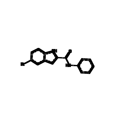 CCc1ccc2[nH]c(C(=O)Nc3ccccc3)cc2c1